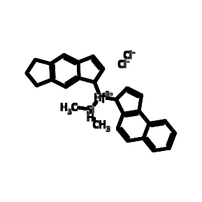 C[SiH](C)[Hf+2]([CH]1C=Cc2cc3c(cc21)CCC3)[CH]1C=Cc2c1ccc1ccccc21.[Cl-].[Cl-]